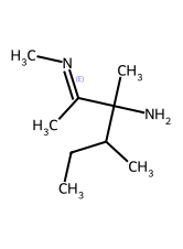 CCC(C)C(C)(N)/C(C)=N/C